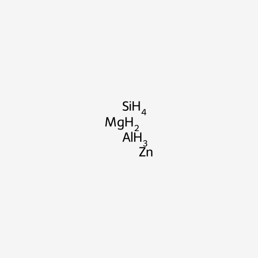 [AlH3].[MgH2].[SiH4].[Zn]